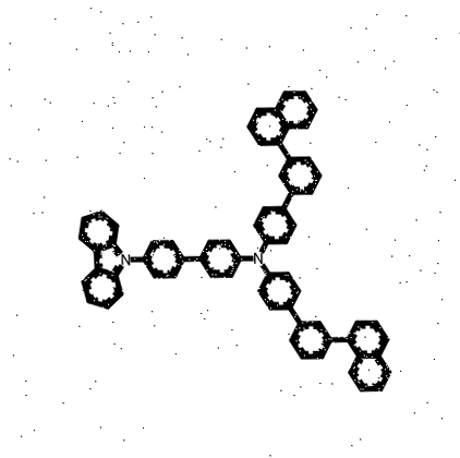 c1cc(-c2ccc(N(c3ccc(-c4ccc(-n5c6ccccc6c6ccccc65)cc4)cc3)c3ccc(-c4cccc(-c5cccc6ccccc56)c4)cc3)cc2)cc(-c2cccc3ccccc23)c1